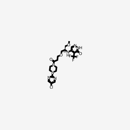 COC[C@H](COCCC(=O)N1CCN(c2ncc(Cl)cn2)CC1)Nc1cn[nH]c(=O)c1C(F)(F)F